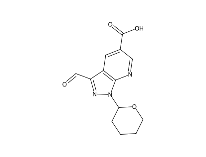 O=Cc1nn(C2CCCCO2)c2ncc(C(=O)O)cc12